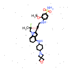 BC(C)(F)Cn1c(C#CCNc2ccc(S(N)(=O)=O)cc2OC)cc2c1=CCCC=2NC1CCC(N2CC3(COC3)C2)CC1